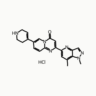 Cc1cc(-c2cc(=O)n3cc(C4=CCNCC4)ccc3n2)nc2cnn(C)c12.Cl